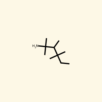 CCC(C)(C)C(C)C(C)(C)N